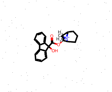 C[N+]1(C)C2CCCC1[C@@H](OC(=O)C1(O)c3ccccc3-c3ccccc31)C2